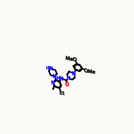 CCc1cc(NC(=O)N2CCN(c3cc(OC)cc(OC)c3)CC2)c(N2CCNCC2)nc1C